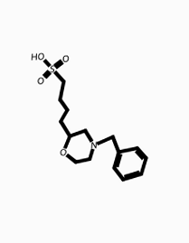 O=S(=O)(O)CCCCC1CN(Cc2ccccc2)CCO1